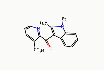 CCn1c(C)c(C(=O)c2ncccc2C(=O)O)c2ccccc21